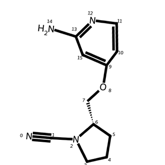 N#CN1CCC[C@H]1COc1ccnc(N)c1